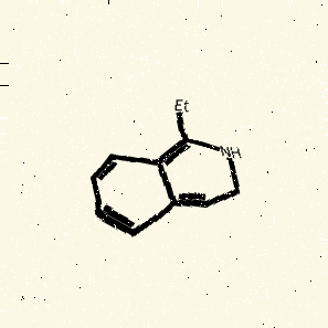 CCC1=c2ccccc2=CCN1